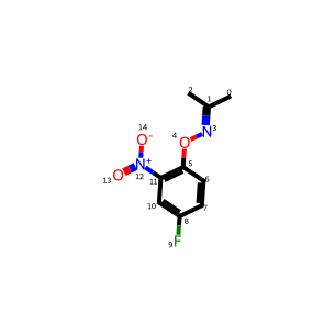 CC(C)=NOc1ccc(F)cc1[N+](=O)[O-]